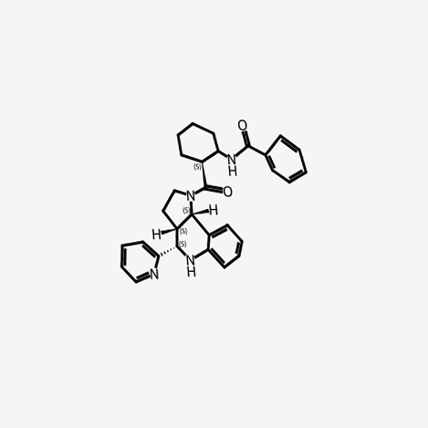 O=C(NC1CCCC[C@@H]1C(=O)N1CC[C@H]2[C@@H](c3ccccn3)Nc3ccccc3[C@H]21)c1ccccc1